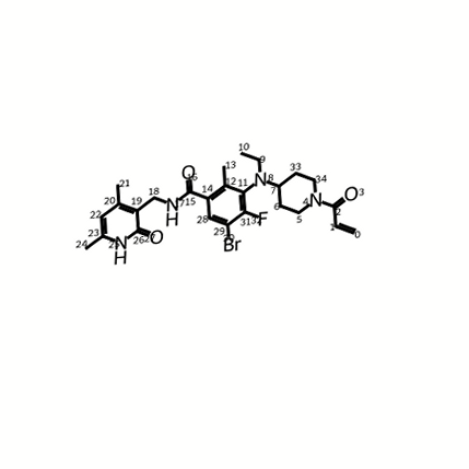 C=CC(=O)N1CCC(N(CC)c2c(C)c(C(=O)NCc3c(C)cc(C)[nH]c3=O)cc(Br)c2F)CC1